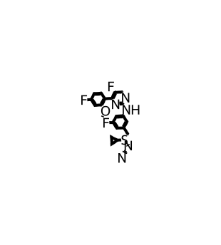 COc1cc(F)ccc1-c1nc(Nc2cc(F)cc(C/S(=N/C#N)C3CC3)c2)ncc1F